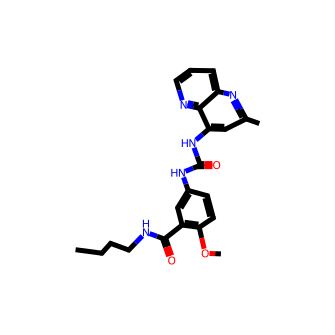 CCCCNC(=O)c1cc(NC(=O)Nc2cc(C)nc3cccnc23)ccc1OC